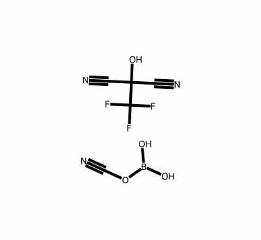 N#CC(O)(C#N)C(F)(F)F.N#COB(O)O